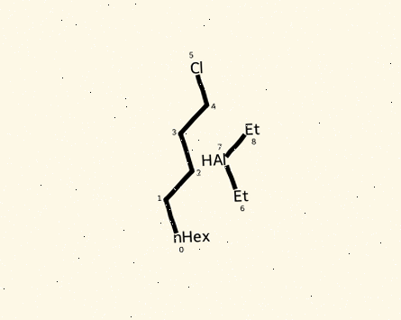 CCCCCCCCCCCl.C[CH2][AlH][CH2]C